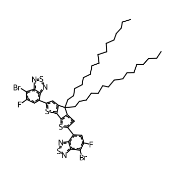 CCCCCCCCCCCCCCCCC1(CCCCCCCCCCCCCCCC)c2cc(-c3cc(F)c(Br)c4nsnc34)sc2-c2sc(-c3cc(F)c(Br)c4nsnc34)cc21